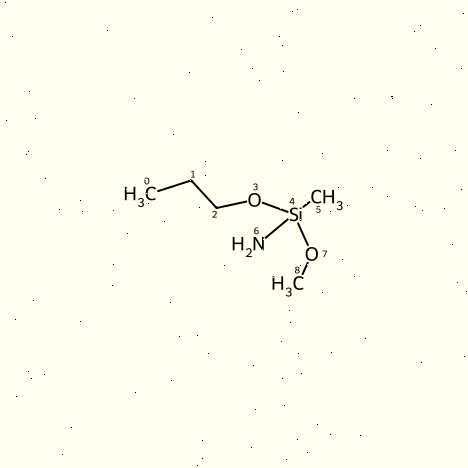 CCCO[Si](C)(N)OC